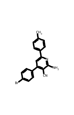 Cc1ccc(-c2cc(-c3ccc(Br)cc3)c(C#N)c(N)n2)cc1